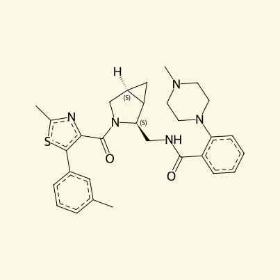 Cc1cccc(-c2sc(C)nc2C(=O)N2C[C@H]3CC3[C@H]2CNC(=O)c2ccccc2N2CCN(C)CC2)c1